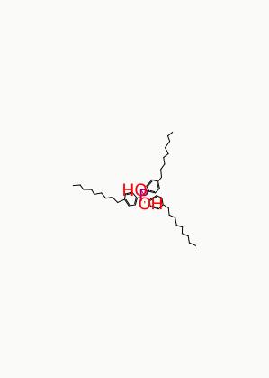 CCCCCCCCCc1ccc(P(O)(O)(c2ccc(CCCCCCCCC)cc2)c2ccc(CCCCCCCCC)cc2)cc1